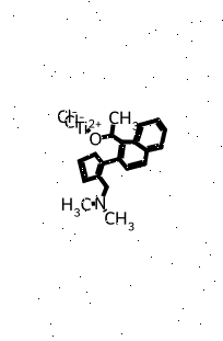 CC([O][Ti+2])c1c(C2=C(CN(C)C)C=CC2)ccc2ccccc12.[Cl-].[Cl-]